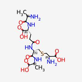 C[C@@H](N)C(=O)N[C@H](CCC(=O)N[C@H](CSC[C@H](N)C(=O)O)C(=O)N[C@H](C)C(=O)O)C(=O)O